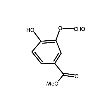 COC(=O)c1ccc(O)c(OC=O)c1